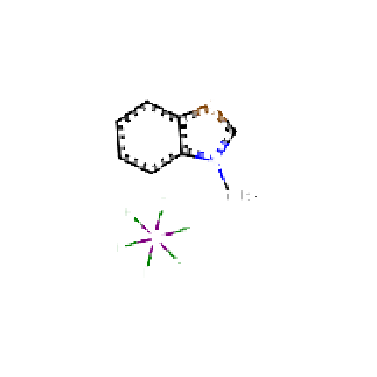 CCCCCC[n+]1csc2ccccc21.F[P-](F)(F)(F)(F)F